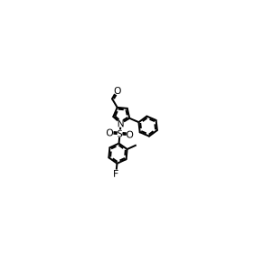 Cc1cc(F)ccc1S(=O)(=O)n1cc(C=O)cc1-c1ccccc1